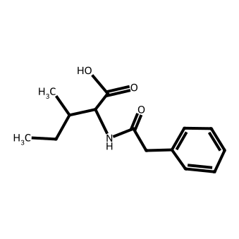 CCC(C)C(NC(=O)Cc1ccccc1)C(=O)O